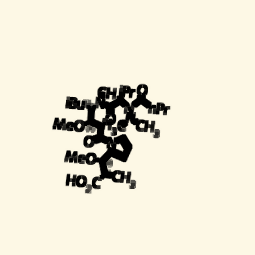 CCCC(=O)N(C(C(=O)N(C)[C@@H]([C@@H](C)CC)[C@@H](CC(=O)n1cccc1[C@H](OC)[C@@H](C)C(=O)O)OC)C(C)C)N(C)C